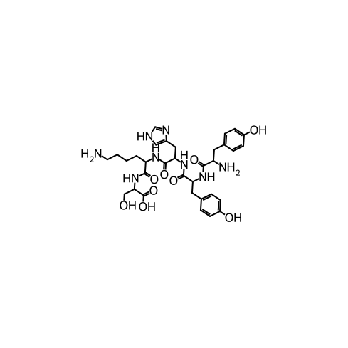 NCCCCC(NC(=O)C(Cc1c[nH]cn1)NC(=O)C(Cc1ccc(O)cc1)NC(=O)C(N)Cc1ccc(O)cc1)C(=O)NC(CO)C(=O)O